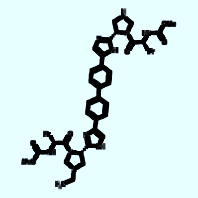 COC(=O)N[C@H](C(=O)N1CN(CC(F)(F)F)C[C@H]1c1nc(-c2ccc(-c3ccc(-c4cnc([C@@H]5CNCN5C(=O)[C@@H](NC(=O)OC)C(C)C)[nH]4)cc3)cc2)c[nH]1)C(C)C